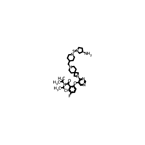 CC(C)N(C(=O)c1cc(F)ccc1Oc1cncnc1N1CC2(CCN(CC3CCN(SN4CC[C@@H](N)C4)CC3)CC2)C1)C(C)C